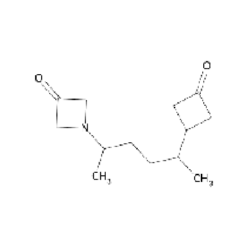 CC(CCC(C)N1CC(=O)C1)C1CC(=O)C1